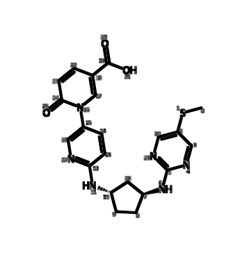 CSc1cnc(N[C@H]2CC[C@H](Nc3ccc(-n4cc(C(=O)O)ccc4=O)cn3)C2)nc1